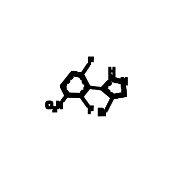 O=[N+]([O-])c1ccc(F)c(-c2[nH]ncc2Br)c1F